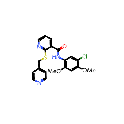 COc1cc(OC)c(NC(=O)c2cccnc2SCc2ccncc2)cc1Cl